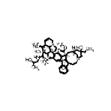 CCC1(O)C[C@H]2C[N@](CCc3c([nH]c4ccccc34)[C@@](C(=O)OC)(c3cc4c(cc3OC)N(C)C3[C@]45CCN4CC=C[C@](CC)(C45)[C@@H](O)[C@]3(O)C(=O)NC[C@H](C)O)C2)C1